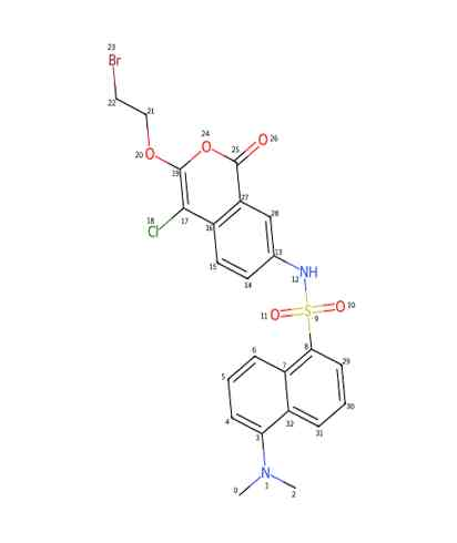 CN(C)c1cccc2c(S(=O)(=O)Nc3ccc4c(Cl)c(OCCBr)oc(=O)c4c3)cccc12